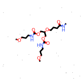 CNC(=O)CCCOC(COC(=O)NCCCOC)COC(=O)NCCCOC